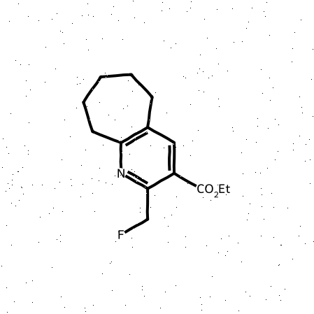 CCOC(=O)c1cc2c(nc1CF)CCCCC2